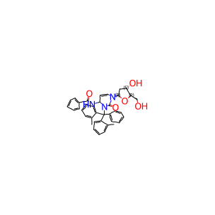 Cc1ccccc1C(c1ccccc1)(c1ccccc1C)N1C(=O)N([C@H]2C[C@H](O)[C@@H](CO)O2)C=CC1NC(=O)c1ccccc1